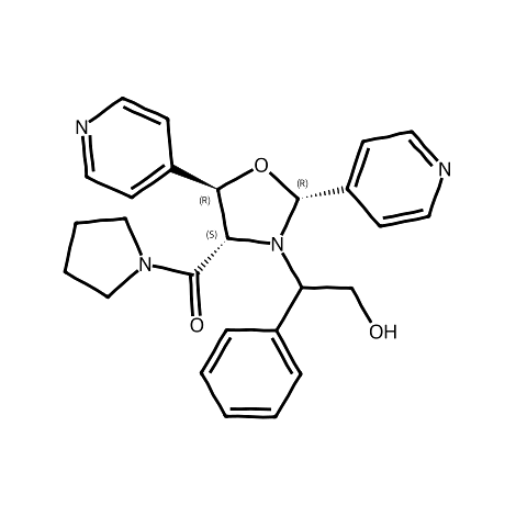 O=C([C@@H]1[C@@H](c2ccncc2)O[C@H](c2ccncc2)N1C(CO)c1ccccc1)N1CCCC1